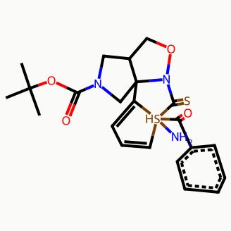 CC(C)(C)OC(=O)N1CC2CON3C(=S)[SH]4(N)(C(=O)c5ccccc5)C=CC=C4C23C1